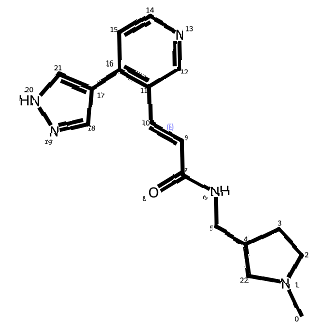 CN1CCC(CNC(=O)/C=C/c2cnccc2-c2cn[nH]c2)C1